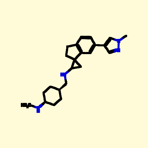 Cn1cc(-c2ccc3c(c2)C2(CC3)CC2NC[C@H]2CC[C@H](NC(=O)O)CC2)cn1